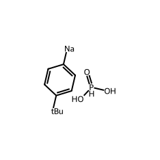 CC(C)(C)c1cc[c]([Na])cc1.O=[PH](O)O